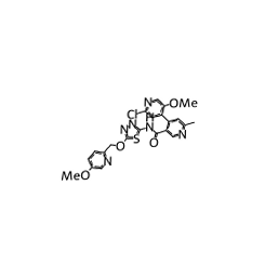 COc1ccc(COc2nnc(NC(=O)c3cnc(C)cc3-c3cc(Cl)ncc3OC)s2)nc1